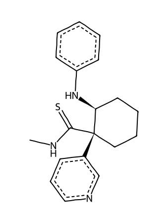 CNC(=S)[C@@]1(c2cccnc2)CCCC[C@@H]1Nc1ccccc1